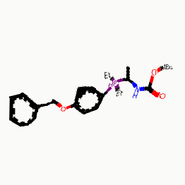 CC[PH](CC)(c1ccc(OCc2ccccc2)cc1)C(C)NC(=O)OC(C)(C)C